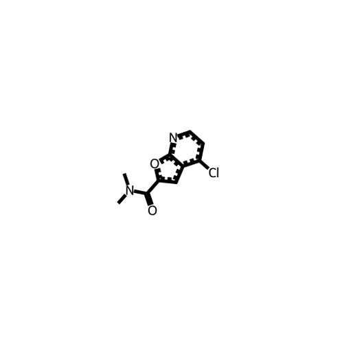 CN(C)C(=O)c1cc2c(Cl)ccnc2o1